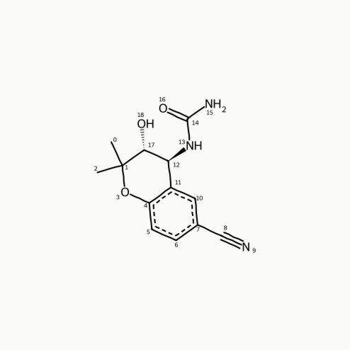 CC1(C)Oc2ccc(C#N)cc2[C@H](NC(N)=O)[C@H]1O